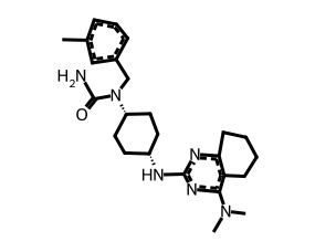 Cc1cccc(CN(C(N)=O)[C@H]2CC[C@@H](Nc3nc4c(c(N(C)C)n3)CCCC4)CC2)c1